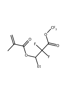 C=C(C)C(=O)OC(CC)C(F)(F)C(=O)OC(F)(F)F